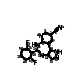 N#Cc1cnc2c(c1)-c1[nH]ncc1N=C(c1c(F)cccc1F)N2